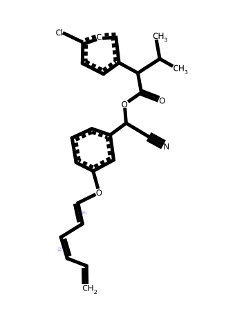 C=C/C=C\C=C\Oc1cccc(C(C#N)OC(=O)C(c2ccc(Cl)cc2)C(C)C)c1